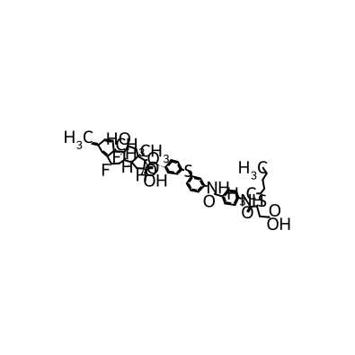 C/C=C1\C=C[C@@]2(C)C(=C1)[C@@H](F)C[C@H]1[C@@H]3C[C@H]4O[C@@H](c5ccc(Sc6cccc(NC(=O)c7ccc(NC(=O)C(CC(=O)O)SC(C)CCCC)cc7)c6)cc5)O[C@@]4(C(=O)CO)[C@@]3(C)C[C@H](O)[C@@]12F